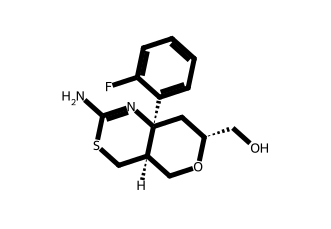 NC1=N[C@@]2(c3ccccc3F)C[C@H](CO)OC[C@H]2CS1